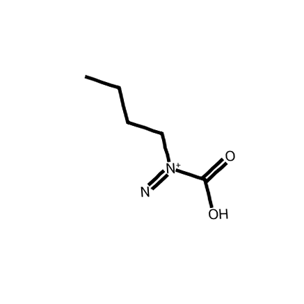 CCCC[N+](=[N-])C(=O)O